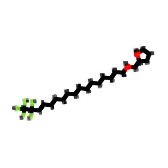 FC(F)(F)C(F)(F)CCCCCCCCCCCCCCCOCC1CCCO1